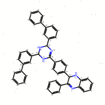 c1ccc(C2=Nc3ccccc3NC2c2ccc(C3=NC(c4cccc(-c5ccccc5)c4)NC(c4cccc(-c5ccccc5)c4)N3)cc2)cc1